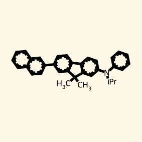 CC(C)N(c1ccccc1)c1ccc2c(c1)C(C)(C)c1cc(-c3ccc4ccccc4c3)ccc1-2